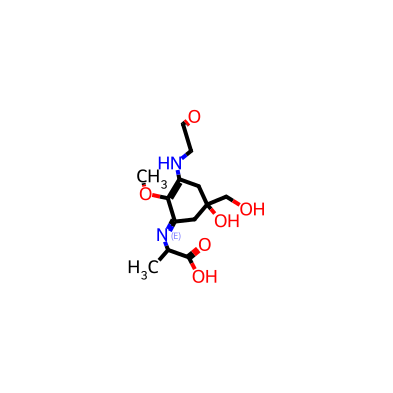 COC1=C(NCC=O)CC(O)(CO)C/C1=N\C(C)C(=O)O